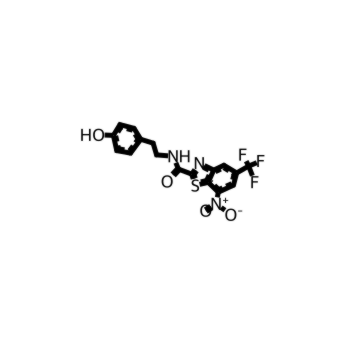 O=C(NCCc1ccc(O)cc1)c1nc2cc(C(F)(F)F)cc([N+](=O)[O-])c2s1